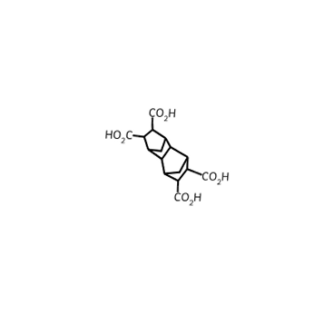 O=C(O)C1C2CC(C1C(=O)O)C1C3CC(C(C(=O)O)C3C(=O)O)C21